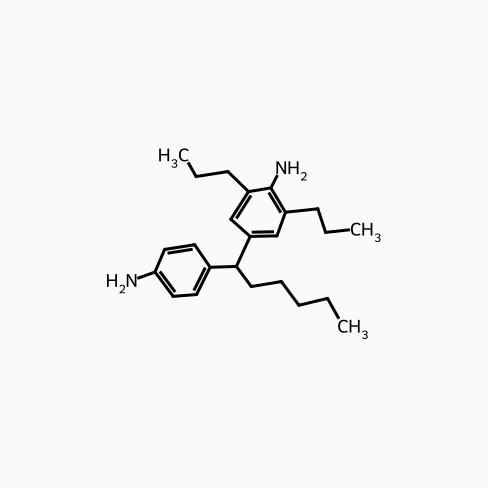 CCCCCC(c1ccc(N)cc1)c1cc(CCC)c(N)c(CCC)c1